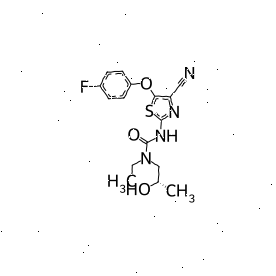 CCN(C[C@H](C)O)C(=O)Nc1nc(C#N)c(Oc2ccc(F)cc2)s1